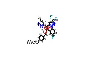 COc1ccc(CO[C@H](C)c2cc(F)ccc2-n2nc(C(F)F)cc2C(O)c2cc(C)nn2C)cc1